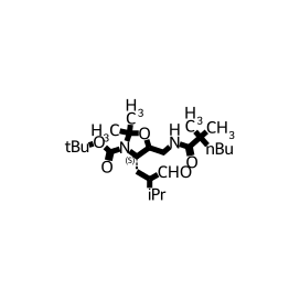 CCCCC(C)(C)C(=O)NCC1OC(C)(C)N(C(=O)OC(C)(C)C)[C@H]1CC(C=O)C(C)C